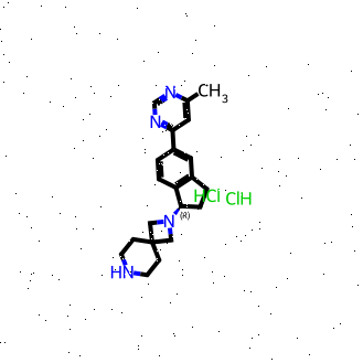 Cc1cc(-c2ccc3c(c2)CC[C@H]3N2CC3(CCNCC3)C2)ncn1.Cl.Cl